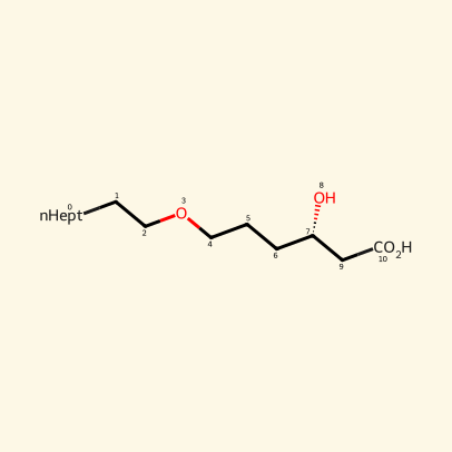 CCCCCCCCCOCCC[C@H](O)CC(=O)O